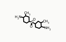 CC1CC(S(=O)(=O)C2CCC(N)C(C)C2)CCC1N